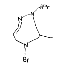 CC(C)N1N=CN(Br)C1C